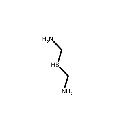 NCBCN